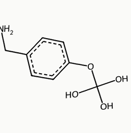 NCc1ccc(OC(O)(O)O)cc1